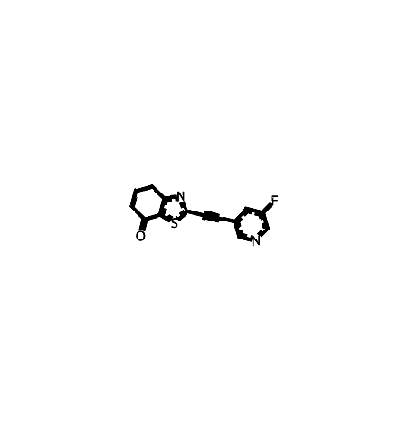 O=C1CCCc2nc(C#Cc3cncc(F)c3)sc21